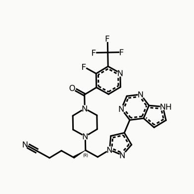 N#CCCC[C@H](Cn1cc(-c2ncnc3[nH]ccc23)cn1)N1CCN(C(=O)c2ccnc(C(F)(F)F)c2F)CC1